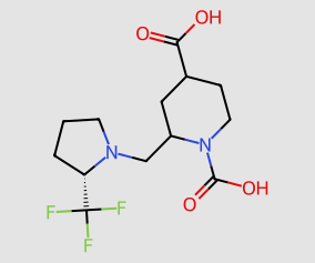 O=C(O)C1CCN(C(=O)O)C(CN2CCC[C@H]2C(F)(F)F)C1